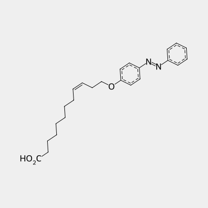 O=C(O)CCCCCCC/C=C\CCOc1ccc(/N=N/c2ccccc2)cc1